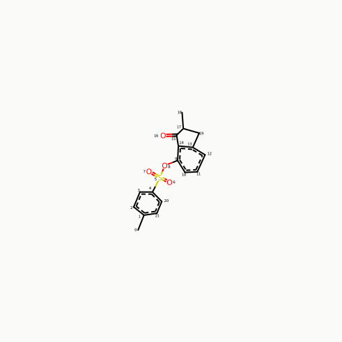 Cc1ccc(S(=O)(=O)Oc2cccc3c2C(=O)C(C)C3)cc1